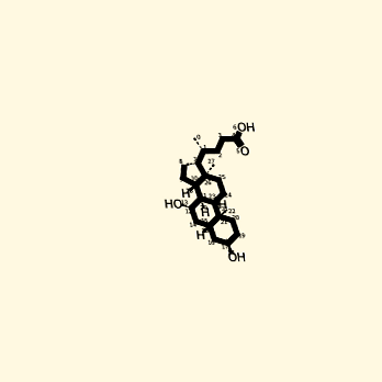 C[C@H](CCC(=O)O)[C@H]1CC[C@H]2[C@@H]3[C@@H](O)C[C@H]4C[C@H](O)CC[C@]4(C)[C@H]3CC[C@]12C